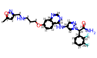 Cc1cc(CNCCCOc2ccc3c(Nc4cnn(C(C(N)=O)c5cccc(F)c5F)c4)ncnc3c2)no1